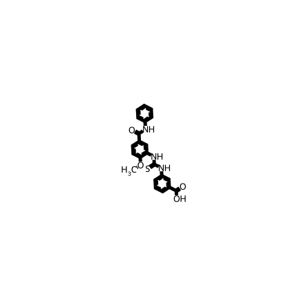 COc1ccc(C(=O)Nc2ccccc2)cc1NC(=S)Nc1cccc(C(=O)O)c1